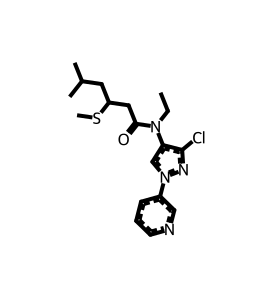 CCN(C(=O)CC(CC(C)C)SC)c1cn(-c2cccnc2)nc1Cl